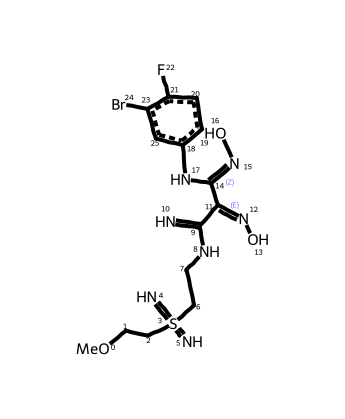 COCCS(=N)(=N)CCNC(=N)C(=N\O)/C(=N/O)Nc1ccc(F)c(Br)c1